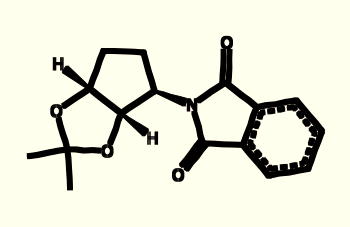 CC1(C)O[C@H]2[C@H](N3C(=O)c4ccccc4C3=O)CC[C@H]2O1